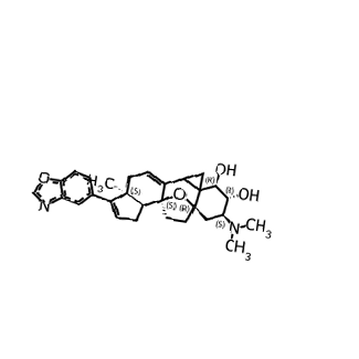 CN(C)[C@H]1C[C@@]23CC[C@@]4(O2)C(=CC[C@]2(C)C(c5ccc6ocnc6c5)=CCC24)C2CC23[C@@H](O)[C@@H]1O